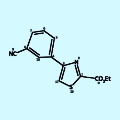 CCOC(=O)c1nc(-c2cccc(C#N)c2)cs1